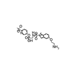 CS(=O)(=O)c1ccc(OP(=O)(O)CNS(=O)(=O)c2cc3cc(OCCN)ccc3s2)cn1